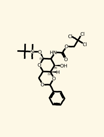 CC(C)(C)[Si](C)(C)O[C@@H]1OC2COC(c3ccccc3)O[C@H]2[C@H](O)C1NC(=O)OCC(Cl)(Cl)Cl